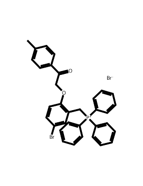 Cc1ccc(C(=O)COc2ccc(Br)cc2C[P+](c2ccccc2)(c2ccccc2)c2ccccc2)cc1.[Br-]